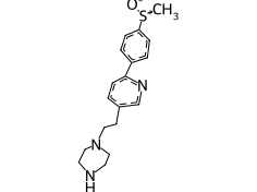 C[S+]([O-])c1ccc(-c2ccc(CCN3CCNCC3)cn2)cc1